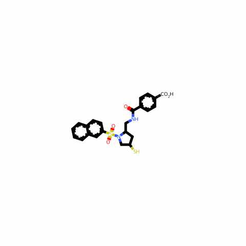 O=C(O)c1ccc(C(=O)NCC2CC(S)CN2S(=O)(=O)c2ccc3ccccc3c2)cc1